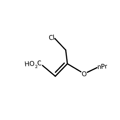 CCCOC(=CC(=O)O)CCl